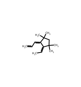 C=C/C=C1\C(=C/C)C(C)(C)CC1(C)C